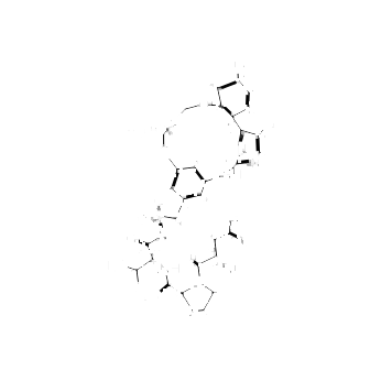 CC(C)[C@@H](NC(=O)[C@@H]1CCCN1C(=O)[C@@H](N)CC(=O)O)C(=O)N=[S@](C)(=O)Cc1cc2cc(c1)O[C@H](C)CCOc1cc(F)ccc1-c1nc(ncc1F)N2